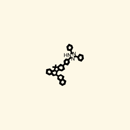 CC1(C)C2=c3ccccc3=CC(C3C=c4ccccc4=CC3)C2c2ccc(-c3ccc(C4N=C(c5ccccc5)N=C(c5ccccc5)N4)cc3)cc21